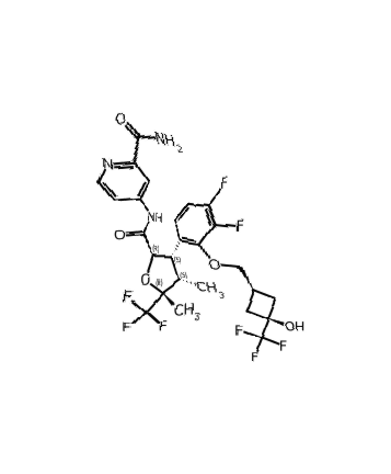 C[C@H]1[C@@H](c2ccc(F)c(F)c2OC[C@H]2C[C@](O)(C(F)(F)F)C2)[C@H](C(=O)Nc2ccnc(C(N)=O)c2)O[C@@]1(C)C(F)(F)F